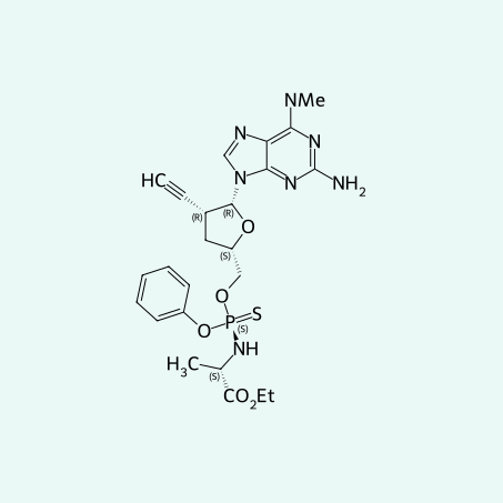 C#C[C@H]1C[C@@H](CO[P@@](=S)(N[C@@H](C)C(=O)OCC)Oc2ccccc2)O[C@H]1n1cnc2c(NC)nc(N)nc21